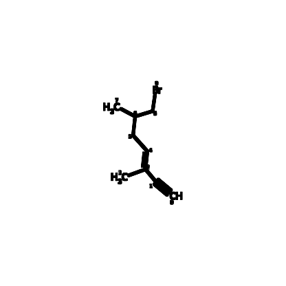 C#C/C(C)=C/CC(C)CBr